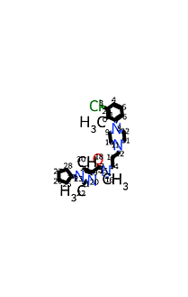 Cc1c(Cl)cccc1N1CCN(CCCN(C)C(=O)c2nc(C)n(C3CCCC3)c2C)CC1